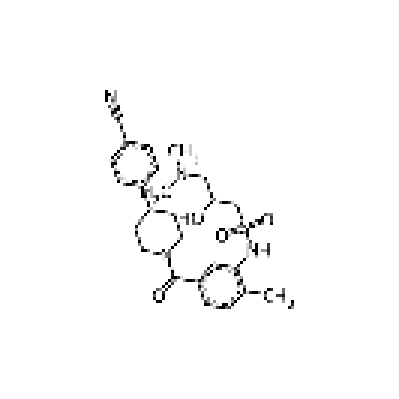 Cc1ccc(C(=O)N2CCC(c3ccc(C#N)cc3)CC2)cc1NS(=O)(=O)CC(O)CN(C)C